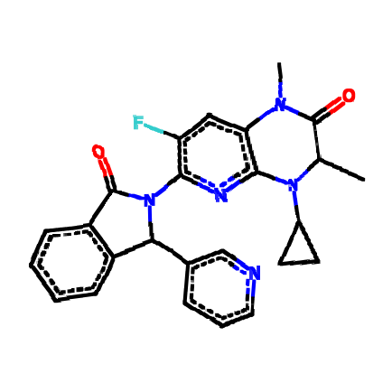 CC1C(=O)N(C)c2cc(F)c(N3C(=O)c4ccccc4C3c3cccnc3)nc2N1C1CC1